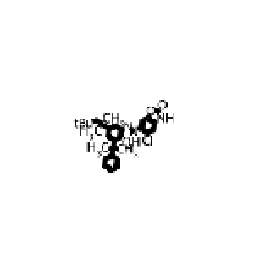 CC(C)(C)CC(C)(C)c1cc(N=Nc2cc3oc(=O)[nH]c3cc2Cl)c(O)c(C(C)(C)c2ccccc2)c1